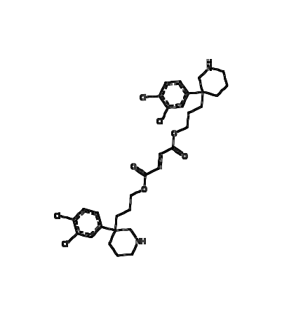 O=C(/C=C/C(=O)OCCCC1(c2ccc(Cl)c(Cl)c2)CCCNC1)OCCCC1(c2ccc(Cl)c(Cl)c2)CCCNC1